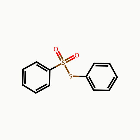 O=S(=O)(Sc1ccccc1)c1ccccc1